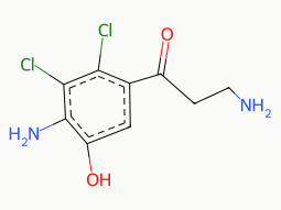 NCCC(=O)c1cc(O)c(N)c(Cl)c1Cl